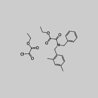 CCOC(=O)C(=O)Cl.CCOC(=O)C(=O)N(Cc1ccccc1)Cc1ccc(C)cc1C